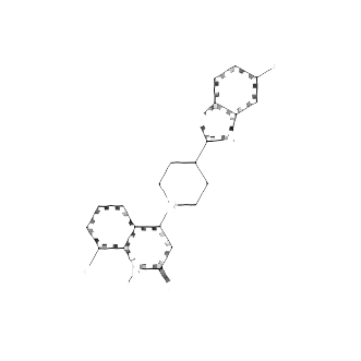 Cn1c(=O)cc(N2CCC(c3nc4cc(Cl)ccc4o3)CC2)c2cccc(Br)c21